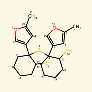 Cc1cc(C2(SC3(c4coc(C)c4)CCCCC3S)CCCCC2S)co1